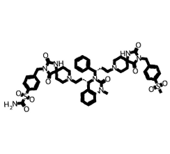 CN(C)C(=O)N([C@@H](CCN1CCC2(CC1)NC(=O)N(Cc1ccc(S(C)(=O)=O)cc1)C2=O)c1ccccc1)[C@@H](CCN1CCC2(CC1)NC(=O)N(Cc1ccc(S(=O)(=O)C(N)=O)cc1)C2=O)c1ccccc1